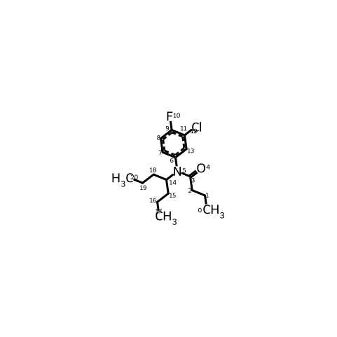 CCCC(=O)N(c1ccc(F)c(Cl)c1)C(CCC)CCC